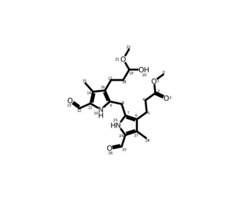 COC(=O)CCc1c(Cc2[nH]c(C=O)c(C)c2CCC(O)OC)[nH]c(C=O)c1C